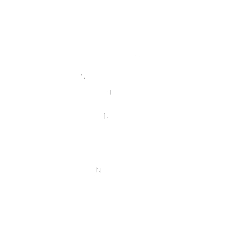 C[N+](C)(CCCN)c1nc(Cc2cc3ccccc3o2)nc2ccccc12